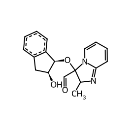 CC1N=C2C=CC=CN2C1(C=O)O[C@@H]1c2ccccc2C[C@@H]1O